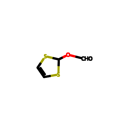 O=COC1SC=CS1